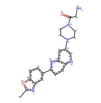 Cc1nc2cc(-c3ccc4ncc(N5CCN(C(=O)CN)CC5)cc4n3)ccc2o1